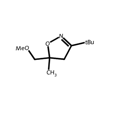 COCC1(C)CC(C(C)(C)C)=NO1